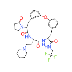 O=C1N[C@@H](CCN2CCCCC2)C(=O)N[C@H](C(=O)NCC(F)(F)F)Cc2cccc(c2)Oc2cccc(c2)CC1N1CCCC1=O